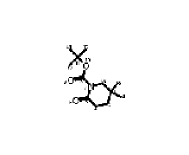 CC1(C)CCC(=O)N(C(=O)OC(C)(C)C)C1